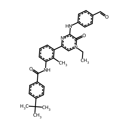 CCn1cc(-c2cccc(NC(=O)c3ccc(C(C)(C)C)cc3)c2C)nc(Nc2ccc(C=O)cc2)c1=O